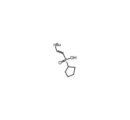 CCCCC=CP(=O)(O)C1CCCC1